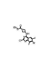 CC(C)(C)OC(=O)N1CC(Nc2nc(Cl)nc3c(F)c(Br)c(I)cc23)C1